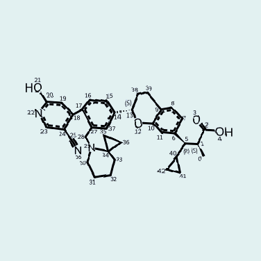 C[C@H](C(=O)O)[C@H](c1ccc2c(c1)O[C@H](c1ccc(-c3cc(O)ncc3C#N)c(CN3CCCCC34CC4)c1)CC2)C1CC1